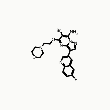 Nc1c(Br)c(OCCN2CCOCC2)nc2c(-c3cnc4ccc(F)cc4c3)cnn12